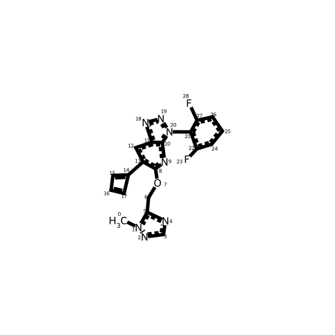 Cn1ncnc1COc1nc2c(cc1C1=CC=C1)nnn2-c1c(F)cccc1F